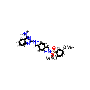 COc1ccc(OC)c(S(=O)(=O)NCc2ccc(CNc3nc(N(C)C)c4ccccc4n3)cc2)c1